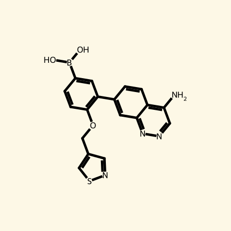 Nc1cnnc2cc(-c3cc(B(O)O)ccc3OCc3cnsc3)ccc12